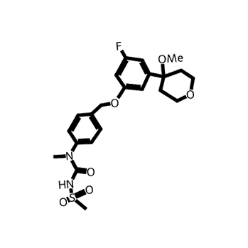 COC1(c2cc(F)cc(OCc3ccc(N(C)C(=O)NS(C)(=O)=O)cc3)c2)CCOCC1